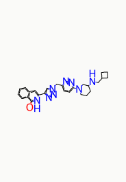 O=c1[nH]c(-c2cn(Cc3ccc(N4CCC[C@@H](NCC5CCC5)C4)nn3)nn2)cc2ccccc12